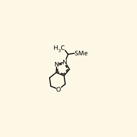 CSC(C)n1cc2c(n1)CCOC2